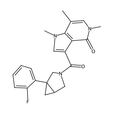 Cc1cn(C)c(=O)c2c(C(=O)N3CC4CC4(c4ccccc4F)C3)cn(C)c12